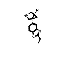 CCc1nc2cc([C@]34CNC[C@H]3C4)ccc2o1